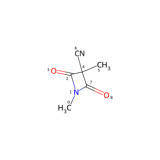 CN1C(=O)C(C)(C#N)C1=O